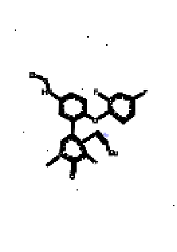 CCSNc1ccc(Oc2ccc(F)cc2F)c(-c2cn(C)c(=O)c(C)c2/C=C\C(C)CC)c1